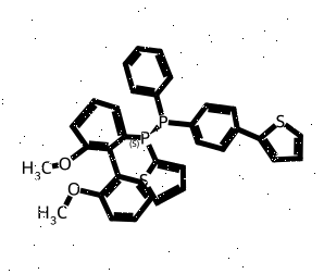 COc1ccc[c]c1-c1c(OC)cccc1[P@](c1cccs1)P(c1ccccc1)c1ccc(-c2cccs2)cc1